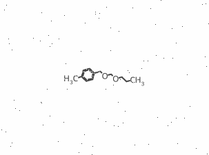 CCCOCOCc1ccc(C)cc1